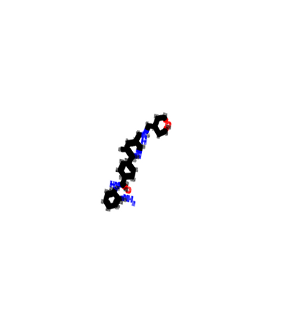 Cc1cc(CNCC2CCOCC2)cnc1-c1ccc(C(=O)Nc2ccccc2N)cc1